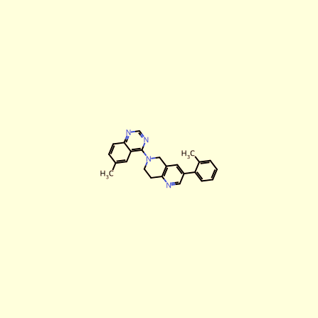 Cc1ccc2ncnc(N3CCc4ncc(-c5ccccc5C)cc4C3)c2c1